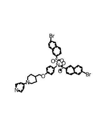 O=S(=O)(c1ccc2cc(Br)ccc2c1)N(c1ccc(OCC2CCN(c3ccncc3)CC2)cc1)S(=O)(=O)c1ccc2cc(Br)ccc2c1